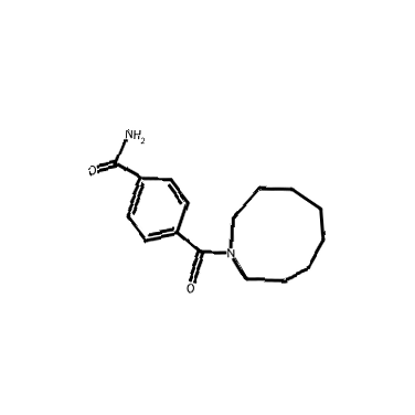 NC(=O)c1ccc(C(=O)N2CCCCCCCC2)cc1